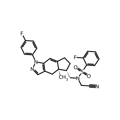 C[C@]12Cc3cnn(-c4ccc(F)cc4)c3C=C1CC[C@@H]2CN(CC#N)S(=O)(=O)c1ccccc1F